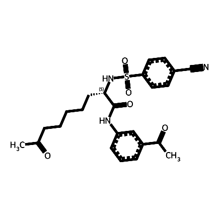 CC(=O)CCCCC[C@H](NS(=O)(=O)c1ccc(C#N)cc1)C(=O)Nc1cccc(C(C)=O)c1